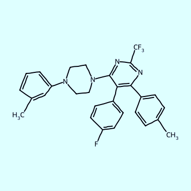 Cc1ccc(-c2nc(C(F)(F)F)nc(N3CCN(c4cccc(C)c4)CC3)c2-c2ccc(F)cc2)cc1